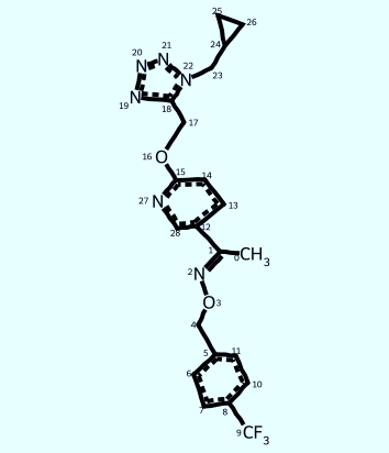 C/C(=N\OCc1ccc(C(F)(F)F)cc1)c1ccc(OCc2nnnn2CC2CC2)nc1